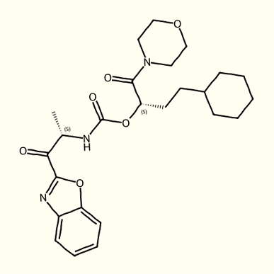 C[C@H](NC(=O)O[C@@H](CCC1CCCCC1)C(=O)N1CCOCC1)C(=O)c1nc2ccccc2o1